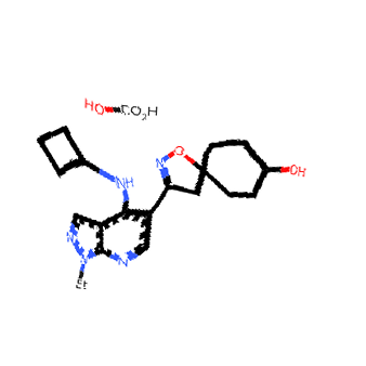 CCn1ncc2c(NC3CCC3)c(C3=NOC4(CCC(O)CC4)C3)cnc21.O=C(O)O